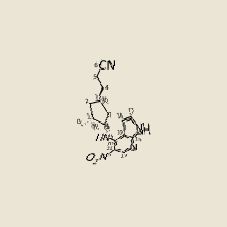 C[C@@H]1C[C@@H](CCC#N)C[C@@H]1Nc1c([N+](=O)[O-])cnc2[nH]ccc12